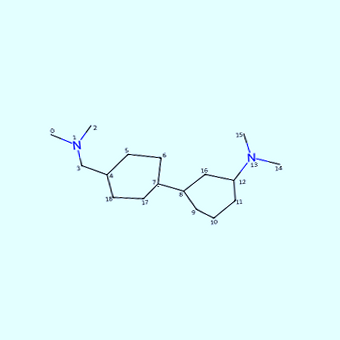 CN(C)CC1CC[C](C2CCCC(N(C)C)C2)CC1